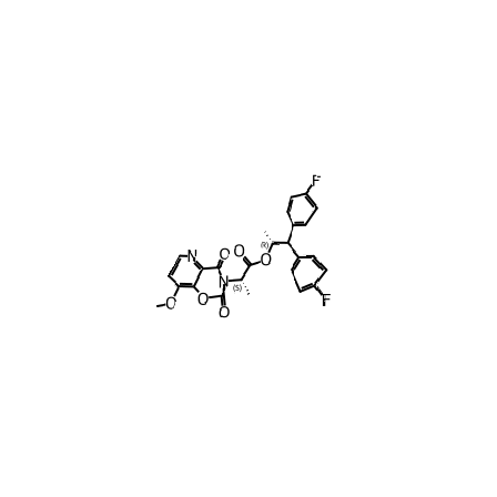 COc1ccnc2c(=O)n([C@@H](C)C(=O)O[C@H](C)C(c3ccc(F)cc3)c3ccc(F)cc3)c(=O)oc12